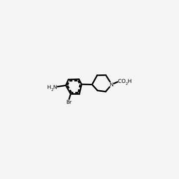 Nc1ccc(C2CCN(C(=O)O)CC2)cc1Br